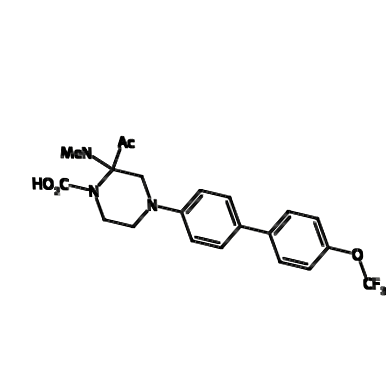 CNC1(C(C)=O)CN(c2ccc(-c3ccc(OC(F)(F)F)cc3)cc2)CCN1C(=O)O